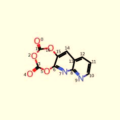 O=C1OC(=O)Oc2nc3ncccc3cc2O1